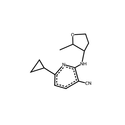 CC1OCCC1Nc1nc(C2CC2)ccc1C#N